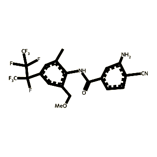 COCc1cc(C(F)(C(F)(F)F)C(F)(F)C(F)(F)F)cc(C)c1NC(=O)c1ccc(C#N)c(N)c1